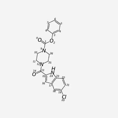 O=C(Oc1ccccc1)N1CCN(C(=O)c2cc3cc(Cl)ccc3[nH]2)CC1